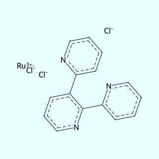 [Cl-].[Cl-].[Cl-].[Ru+3].c1ccc(-c2cccnc2-c2ccccn2)nc1